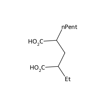 CCCCCC(CC(CC)C(=O)O)C(=O)O